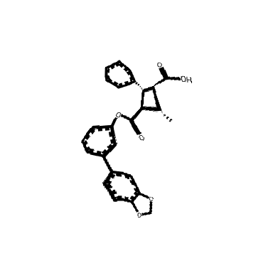 C[C@@H]1C(C(=O)Oc2cccc(-c3ccc4c(c3)OCO4)c2)[C@H](c2ccccc2)[C@H]1C(=O)O